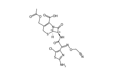 CC(=O)OCC1=C(C(=O)O)N2C(=O)[C@@H](NC(=O)C(=NOCC#N)c3nc(N)sc3Cl)[C@H]2SC1